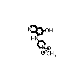 CS(=O)(=O)N1CCC(Nc2cc(O)cc3ccncc23)CC1